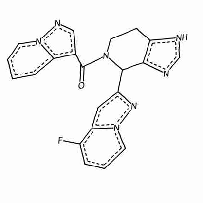 O=C(c1cnn2ccccc12)N1CCc2[nH]cnc2C1c1cc2c(F)cccn2n1